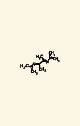 CC(=N\N(C)C)/C(C)=N/N(C)C